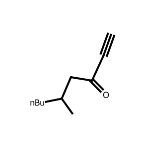 C#CC(=O)CC(C)CCCC